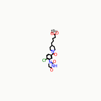 CC(C)(C)OC(=O)CCCCC1CCN(C(=O)c2ccc(Cl)c(N3CCC(=O)NC3=O)c2)CC1